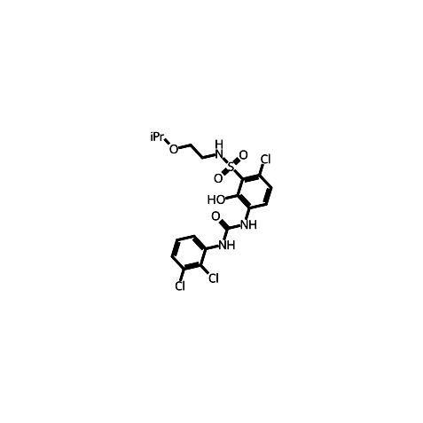 CC(C)OCCNS(=O)(=O)c1c(Cl)ccc(NC(=O)Nc2cccc(Cl)c2Cl)c1O